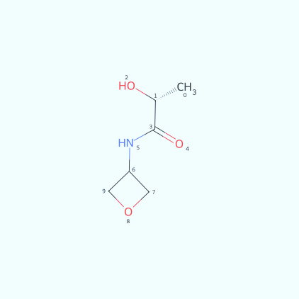 C[C@@H](O)C(=O)NC1COC1